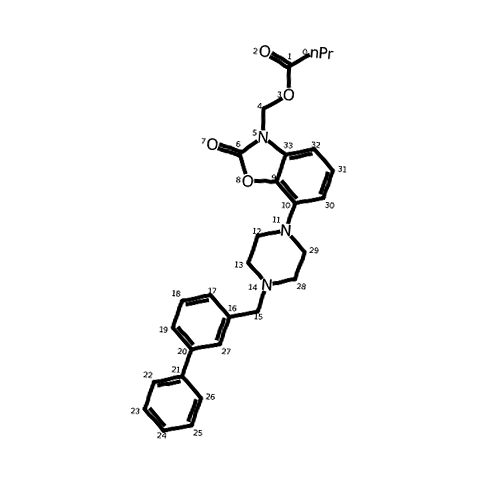 CCCC(=O)OCn1c(=O)oc2c(N3CCN(Cc4cccc(-c5ccccc5)c4)CC3)cccc21